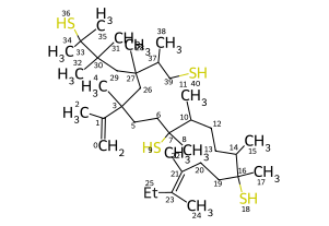 C=C(C)C(C)(CCC(C)(S)C(C)CCC(C)C(C)(S)CC/C(C)=C(\C)CC)CC(C)(CC(C)(C)C(C)(C)S)C(C)CS